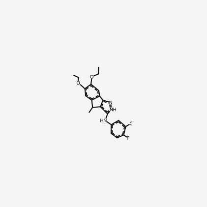 CCOc1cc2c(cc1OCC)C(C)c1c-2n[nH]c1Nc1ccc(F)c(Cl)c1